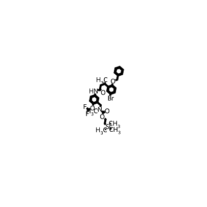 C[C@H](CC(=O)Nc1ccc(OC(F)F)c(CN(C)C(=O)OCC[Si](C)(C)C)c1)c1cc(Br)ccc1OCc1ccccc1